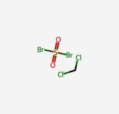 ClCCl.O=S(=O)(Br)Br